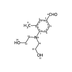 Cc1cc(C=O)ccc1N(CCO)CCO